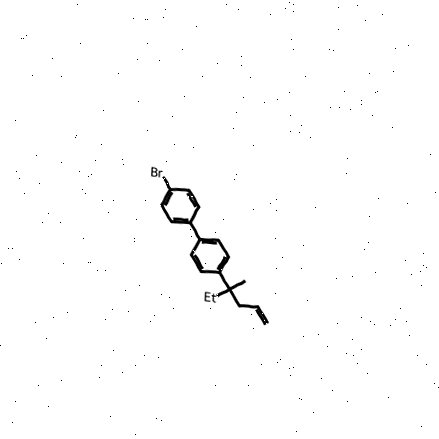 C=CCC(C)(CC)c1ccc(-c2ccc(Br)cc2)cc1